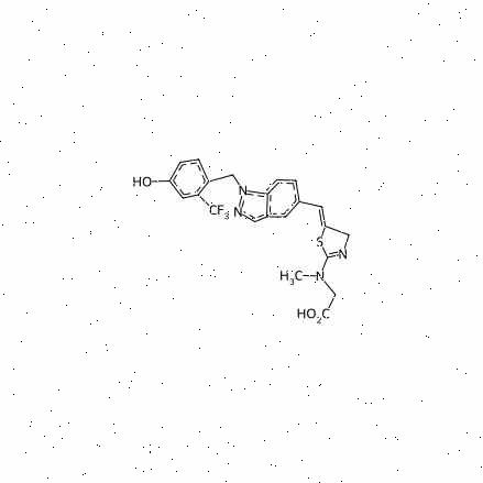 CN(CC(=O)O)C1=NCC(=Cc2ccc3c(cnn3Cc3ccc(O)cc3C(F)(F)F)c2)S1